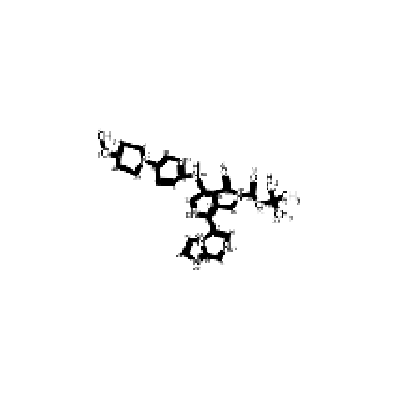 COC1CCN(c2ccc(Nc3cnc(-c4cncc5nccn45)c4c3C(=O)N(C(=O)OC(C)(C)C)C4)nc2)CC1